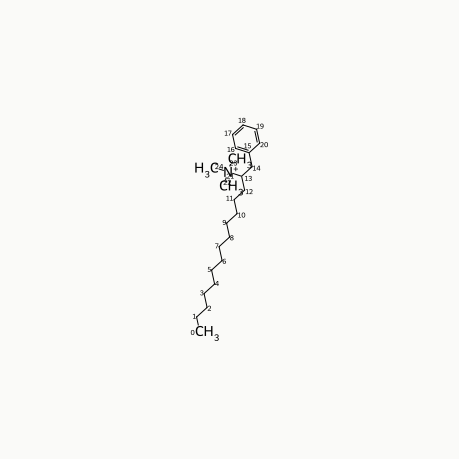 CCCCCCCCCCCCCC(Cc1ccccc1)[N+](C)(C)C